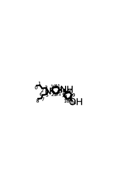 CCCCN(CCCC)c1ccc(Nc2ccc(O)cc2)cc1